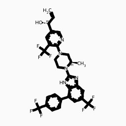 C=C[C@@H](O)c1cnc(N2CCN(c3nc4cc(C(F)(F)F)cc(-c5ccc(C(F)(F)F)cc5)c4[nH]3)[C@H](C)C2)c(C(F)(F)F)c1